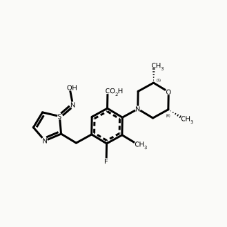 Cc1c(F)c(CC2=NC=CS2=NO)cc(C(=O)O)c1N1C[C@@H](C)O[C@@H](C)C1